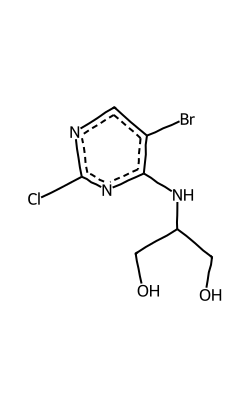 OCC(CO)Nc1nc(Cl)ncc1Br